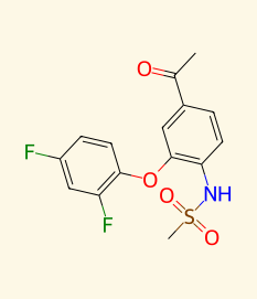 CC(=O)c1ccc(NS(C)(=O)=O)c(Oc2ccc(F)cc2F)c1